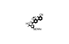 CO/N=C1/C[C@@H]([C@@H](C)O)N(C(=O)c2ccc(-c3cccc(C#N)c3C)c3c2OCO3)C1